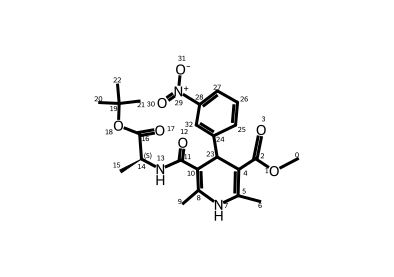 COC(=O)C1=C(C)NC(C)=C(C(=O)N[C@@H](C)C(=O)OC(C)(C)C)C1c1cccc([N+](=O)[O-])c1